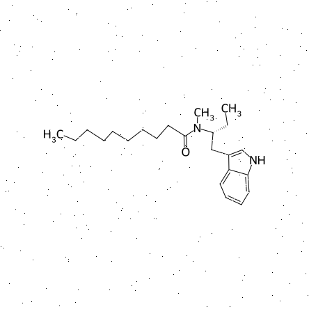 CCCCCCCCCC(=O)N(C)[C@H](CC)Cc1c[nH]c2ccccc12